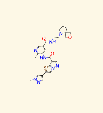 Cc1ncc(C(=O)NCCN2CCCC23COC3)cc1NC(=O)c1cnn2cc(-c3cnn(C)c3)sc12